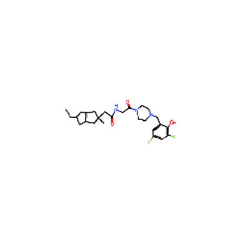 CCC1CC2CC(C)(CC(=O)NCC(=O)N3CCN(Cc4cc(F)cc(F)c4O)CC3)CC2C1